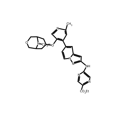 CCOC(=O)c1cnc(Nc2cc3cc(-c4cc(C)ncc4OC4CC5COCC(C4)N5C(=O)O)ccn3n2)cn1